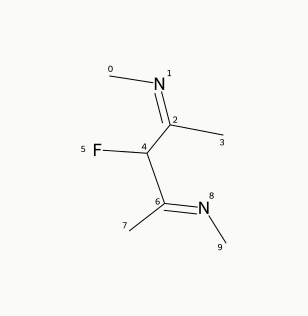 CN=C(C)C(F)C(C)=NC